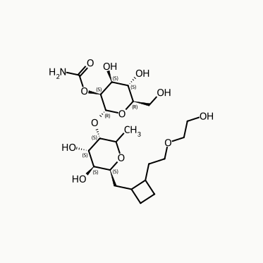 CC1O[C@@H](CC2CCC2CCOCCO)[C@@H](O)[C@H](O)[C@@H]1O[C@H]1O[C@H](CO)[C@@H](O)[C@H](O)[C@@H]1OC(N)=O